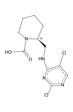 O=C(O)N1CCCC[C@H]1CNc1nc(Cl)ncc1Cl